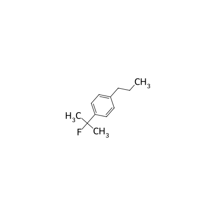 CCCc1ccc(C(C)(C)F)cc1